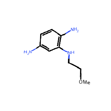 COCCNc1cc(N)ccc1N